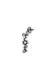 C=C1OC[C@@H](COC(=O)CCc2ccc(OC[C@H]3CO3)cc2)O1